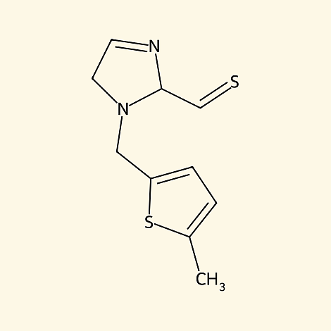 Cc1ccc(CN2CC=NC2C=S)s1